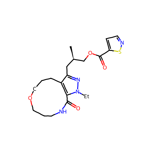 CCn1nc(C[C@@H](C)COC(=O)c2ccns2)c2c1C(=O)NCCCOCCC2